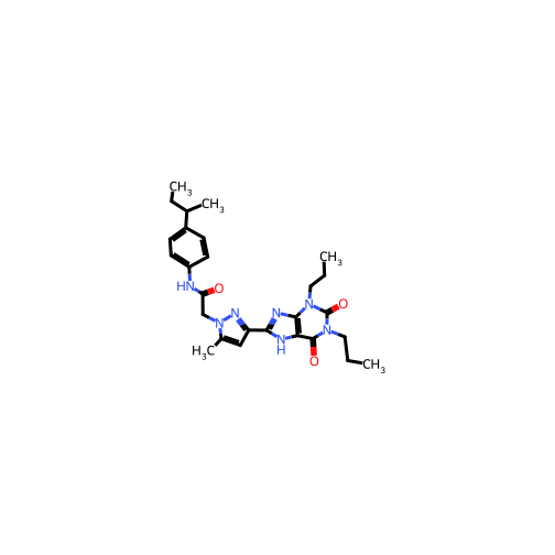 CCCn1c(=O)c2[nH]c(-c3cc(C)n(CC(=O)Nc4ccc(C(C)CC)cc4)n3)nc2n(CCC)c1=O